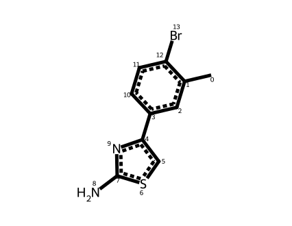 Cc1cc(-c2csc(N)n2)ccc1Br